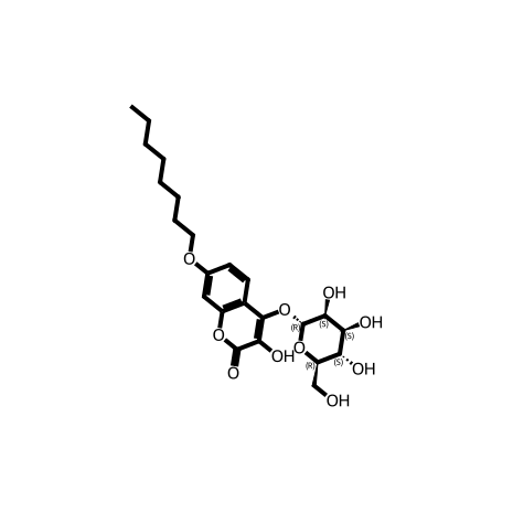 CCCCCCCCOc1ccc2c(O[C@H]3O[C@H](CO)[C@@H](O)[C@H](O)[C@@H]3O)c(O)c(=O)oc2c1